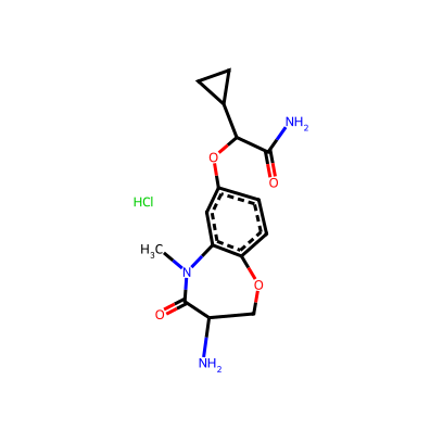 CN1C(=O)C(N)COc2ccc(OC(C(N)=O)C3CC3)cc21.Cl